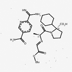 C[C@H](N=CC(=O)OC(C)(C)C)C(=O)N1CCC[C@]1(C(=O)O)C1CCCCC1.N=C(N)c1ccc(C(N)=O)cn1